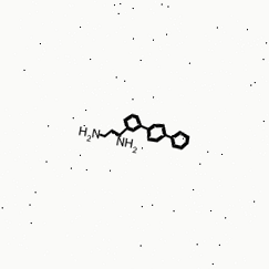 NC/C=C(\N)c1cccc(-c2ccc(-c3ccccc3)cc2)c1